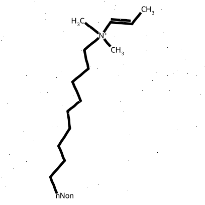 CC=C[N+](C)(C)CCCCCCCCCCCCCCCCCC